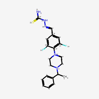 CC(c1ccccc1)N1CCN(c2c(F)cc(/C=N/NC(N)=S)cc2F)CC1